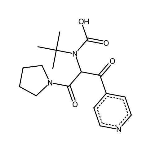 CC(C)(C)N(C(=O)O)C(C(=O)c1ccncc1)C(=O)N1CCCC1